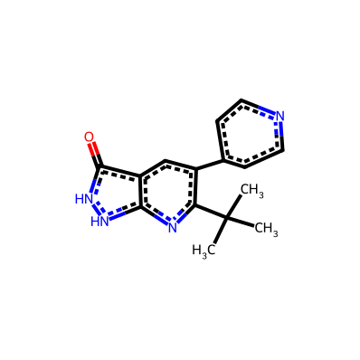 CC(C)(C)c1nc2[nH][nH]c(=O)c2cc1-c1ccncc1